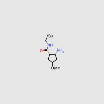 CO[C@@H]1C[C@@H](N)[C@@H](C(=O)NCC(C)(C)C)C1